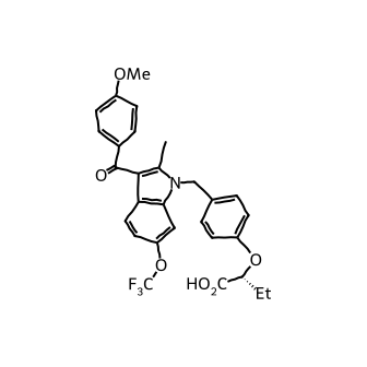 CC[C@@H](Oc1ccc(Cn2c(C)c(C(=O)c3ccc(OC)cc3)c3ccc(OC(F)(F)F)cc32)cc1)C(=O)O